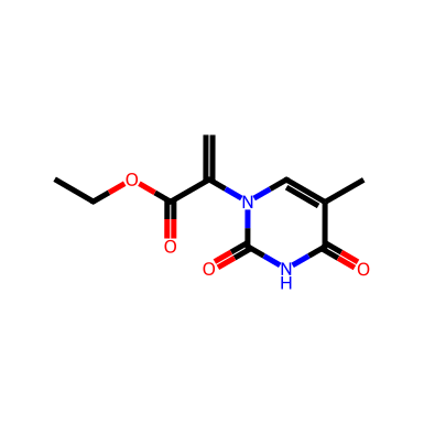 C=C(C(=O)OCC)n1cc(C)c(=O)[nH]c1=O